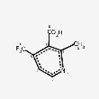 Cc1nccc(C(F)(F)F)c1C(=O)O